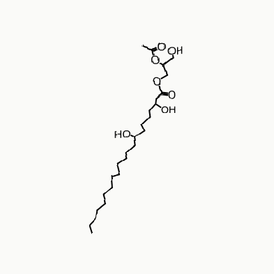 CCCCCCCCCCCCCC(O)CCCCC(O)CC(=O)OCC(CO)OC(C)=O